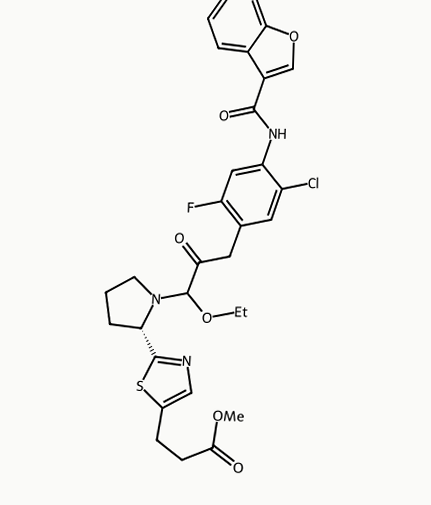 CCOC(C(=O)Cc1cc(Cl)c(NC(=O)c2coc3ccccc23)cc1F)N1CCC[C@H]1c1ncc(CCC(=O)OC)s1